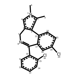 Cc1c2c(cn1C)CN=C(c1ccccc1Cl)c1cc(Cl)ccc1-2